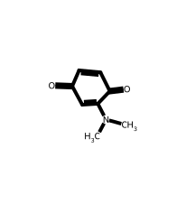 CN(C)C1=CC(=O)C=CC1=O